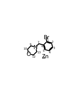 Brc1ccccc1CN1CCOCC1.[Zn]